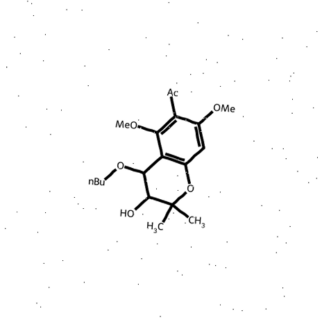 CCCCOC1c2c(cc(OC)c(C(C)=O)c2OC)OC(C)(C)C1O